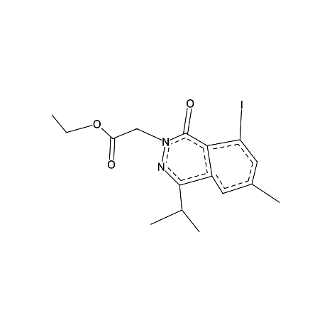 CCOC(=O)Cn1nc(C(C)C)c2cc(C)cc(I)c2c1=O